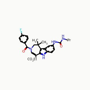 CCOC(=O)C1=CN(C(=O)c2ccc(F)cc2)CC(C)(C)c2c1[nH]c1ccc(NC(=O)NC(C)C)cc21